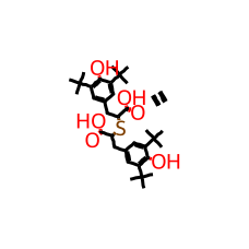 C=C.C=C.CC(C)(C)c1cc(CC(SC(Cc2cc(C(C)(C)C)c(O)c(C(C)(C)C)c2)C(=O)O)C(=O)O)cc(C(C)(C)C)c1O